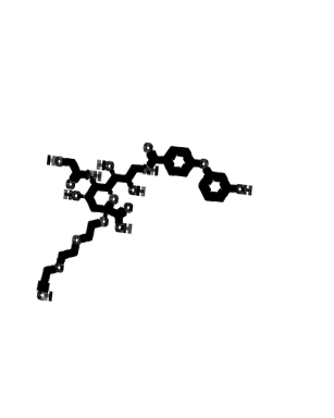 C#CCOCCOCCO[C@]1(C(=O)O)C[C@H](O)[C@@H](NC(=O)CO)[C@H]([C@H](O)[C@H](O)CNC(=O)c2ccc(Oc3cccc(O)c3)cc2)O1